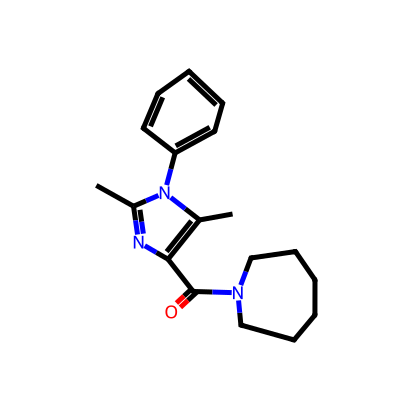 Cc1nc(C(=O)N2CCCCCC2)c(C)n1-c1ccccc1